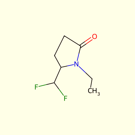 CCN1C(=O)CCC1C(F)F